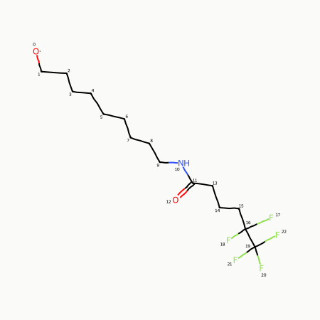 [O]CCCCCCCCCNC(=O)CCCC(F)(F)C(F)(F)F